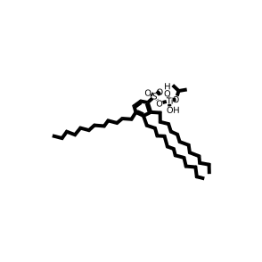 CCCCCCCCCCCCc1ccc(S(=O)(=O)[O][Ti]([OH])([OH])[O]C(C)C)c(CCCCCCCCCCCC)c1CCCCCCCCCCCC